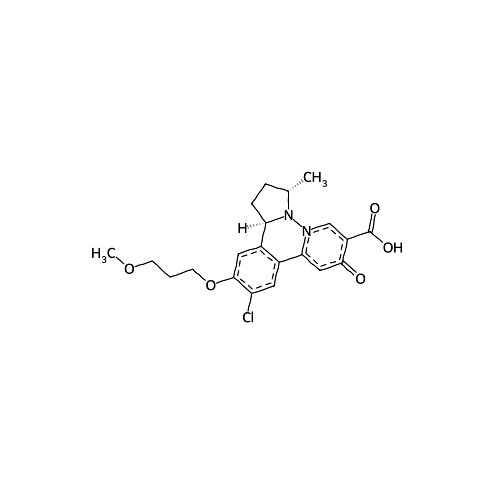 COCCCOc1cc2c(cc1Cl)-c1cc(=O)c(C(=O)O)cn1N1[C@@H]2CC[C@@H]1C